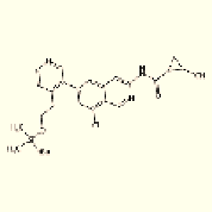 CC(C)(C)[Si](C)(C)OCCc1ccncc1-c1cc(Cl)c2cnc(NC(=O)C3CC3C#N)cc2c1